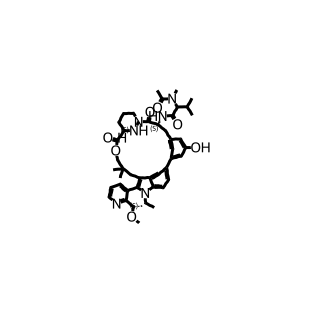 CCn1c(-c2cccnc2[C@H](C)OC)c2c3cc(ccc31)-c1cc(O)cc(c1)C[C@H](NC(=O)C(C(C)C)N(C)C(C)=O)C(=O)N1CCC[C@H](N1)C(=O)OCC(C)(C)C2